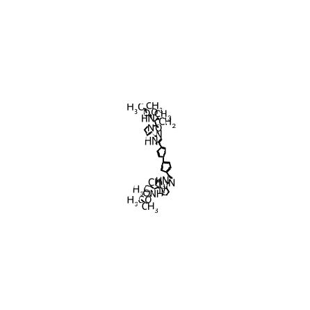 C=C(C)[C@H](NC(=O)OC(C)C)C(=O)N1CCC[C@H]1c1ncc(-c2ccc(-c3ccc(-c4cnc(C5CCCN5C(=O)[C@@H](NC(=O)OC(C)C)C(C)C)[nH]4)cc3)cc2)[nH]1